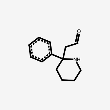 O=[C]CC1(c2ccccc2)CCCCN1